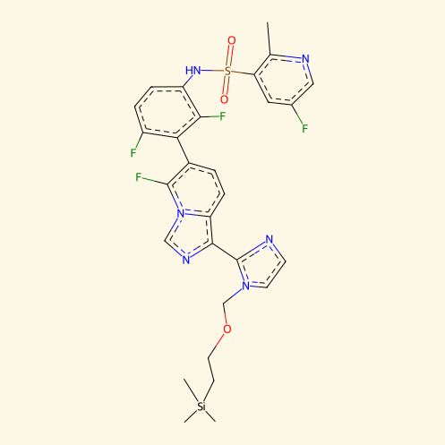 Cc1ncc(F)cc1S(=O)(=O)Nc1ccc(F)c(-c2ccc3c(-c4nccn4COCC[Si](C)(C)C)ncn3c2F)c1F